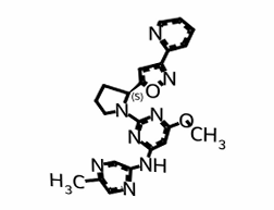 COc1cc(Nc2cnc(C)cn2)nc(N2CCC[C@H]2c2cc(-c3ccccn3)no2)n1